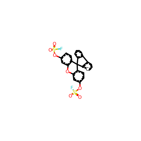 O=S(=O)(F)Oc1ccc2c(c1)Oc1cc(OS(=O)(=O)F)ccc1C21c2ccccc2-c2ccccc21